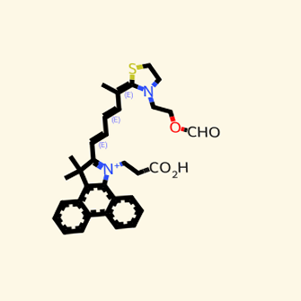 CC(/C=C/C=C/C1=[N+](CCC(=O)O)c2c(c3ccccc3c3ccccc23)C1(C)C)=C1\SCCN1CCOC=O